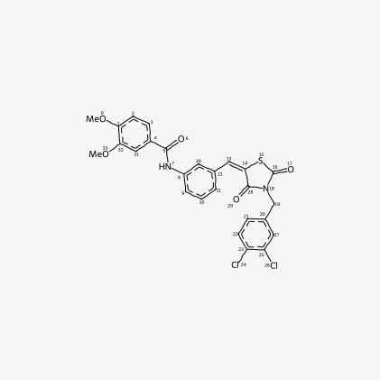 COc1ccc(C(=O)Nc2cccc(C=C3SC(=O)N(Cc4ccc(Cl)c(Cl)c4)C3=O)c2)cc1OC